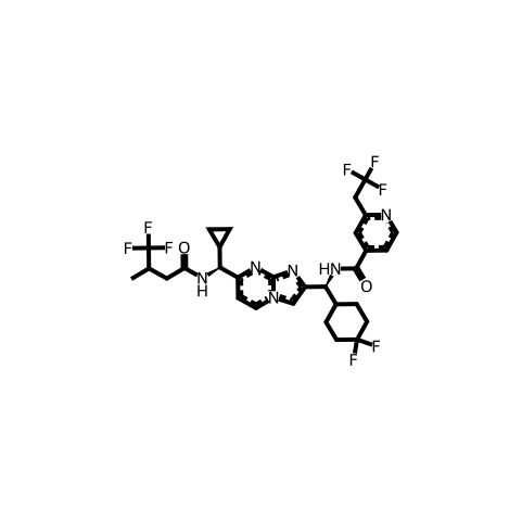 CC(CC(=O)N[C@H](c1ccn2cc([C@@H](NC(=O)c3ccnc(CC(F)(F)F)c3)C3CCC(F)(F)CC3)nc2n1)C1CC1)C(F)(F)F